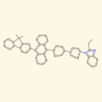 CCc1nc2ccccc2n1-c1ccc(-c2ccc(-c3c4ccccc4c(-c4ccc5c(c4)C(C)(C)c4ccccc4-5)c4ccccc34)cc2)cc1